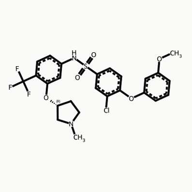 COc1cccc(Oc2ccc(S(=O)(=O)Nc3ccc(C(F)(F)F)c(O[C@@H]4CCN(C)C4)c3)cc2Cl)c1